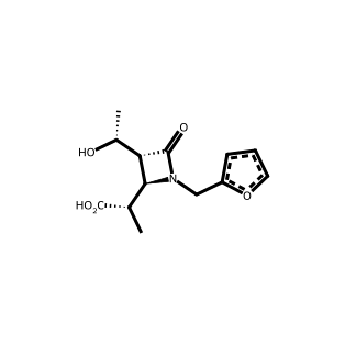 C[C@H](C(=O)O)[C@H]1[C@H]([C@@H](C)O)C(=O)N1Cc1ccco1